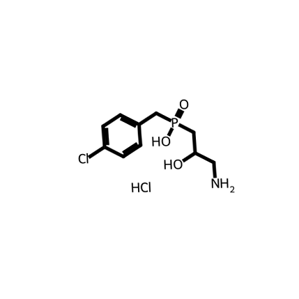 Cl.NCC(O)CP(=O)(O)Cc1ccc(Cl)cc1